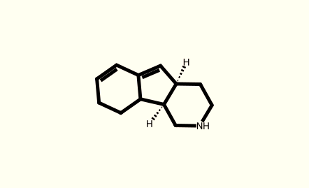 C1=CC2=C[C@H]3CCNC[C@H]3C2CC1